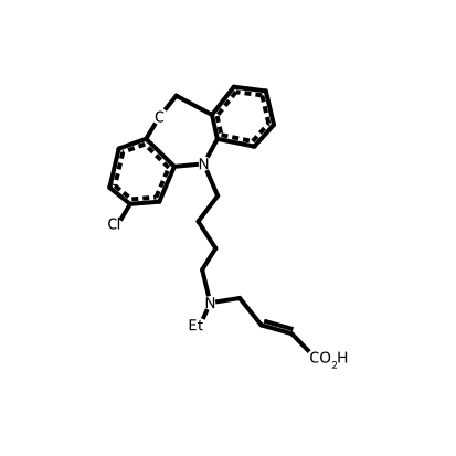 CCN(C/C=C/C(=O)O)CCCCN1c2ccccc2CCc2ccc(Cl)cc21